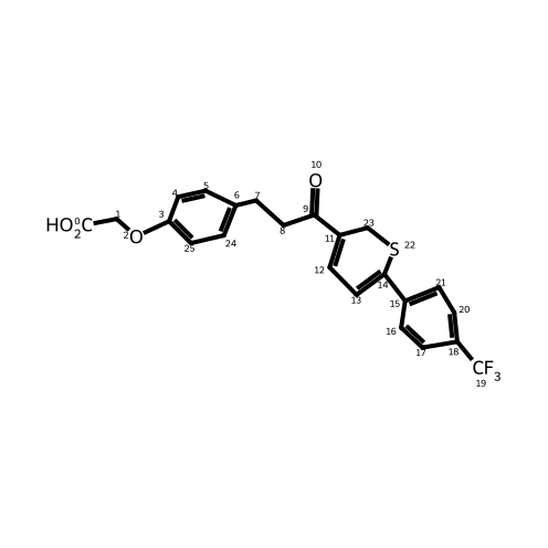 O=C(O)COc1ccc(CCC(=O)C2=CC=C(c3ccc(C(F)(F)F)cc3)SC2)cc1